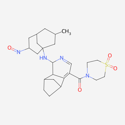 CC1CC2CC(N=O)CC(NC3N=CC(C(=O)N4CCS(=O)(=O)CC4)=C4C5CCC(C5)C43)(C1)C2